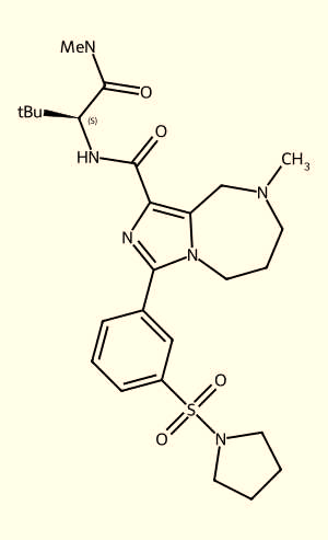 CNC(=O)[C@@H](NC(=O)c1nc(-c2cccc(S(=O)(=O)N3CCCC3)c2)n2c1CN(C)CCC2)C(C)(C)C